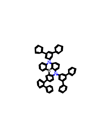 c1ccc(-c2cc(-c3ccccc3)cc(N3c4ccccc4B4c5cc(-c6ccccc6-c6ccccc6)ccc5N(c5cc(-c6ccccc6)cc(-c6ccccc6)c5)c5cccc3c54)c2)cc1